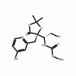 CC(C)C[C@H](NC(=O)OC(C)(C)C)[C@@]1(Cc2cc(S)ccn2)OC(C)(C)OC1=O